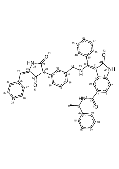 C[C@@H](NC(=O)c1ccc2c(c1)C(=C(NCc1cccc(N3C(=O)NC(=Cc4ccncc4)C3=O)c1)c1cccnc1)C(=O)N2)c1ccccc1